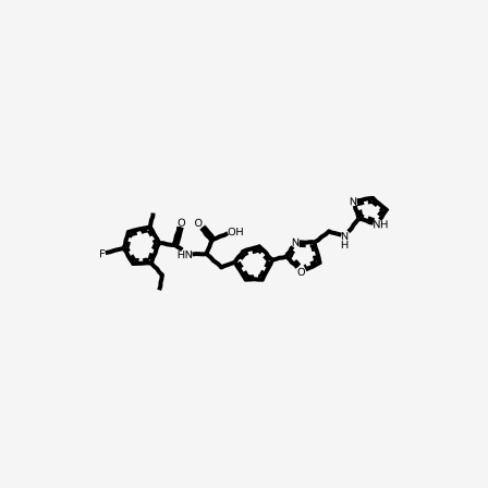 CCc1cc(F)cc(C)c1C(=O)NC(Cc1ccc(-c2nc(CNc3ncc[nH]3)co2)cc1)C(=O)O